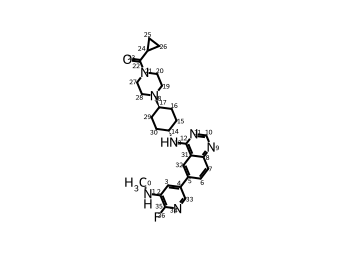 CNc1cc(-c2ccc3ncnc(N[C@H]4CC[C@H](N5CCN(C(=O)C6CC6)CC5)CC4)c3c2)cnc1F